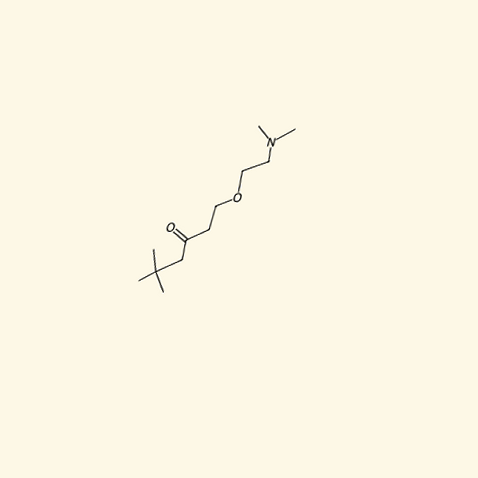 CN(C)CCOCCC(=O)CC(C)(C)C